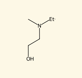 C[CH]N(C)CCO